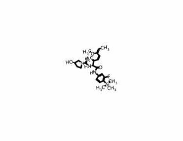 C=C(/C=C\C(=C/C)OC)[C@@H](NC(=O)N1CC[C@@H](O)C1)C(=O)Nc1ccc([Si](C)(C)C)c(F)c1